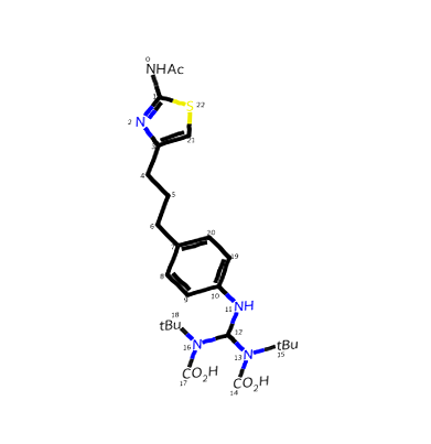 CC(=O)Nc1nc(CCCc2ccc(NC(N(C(=O)O)C(C)(C)C)N(C(=O)O)C(C)(C)C)cc2)cs1